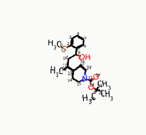 CSc1ccccc1C(O)CC(C)C1CCN(C(=O)OC(C)(C)C)CC1